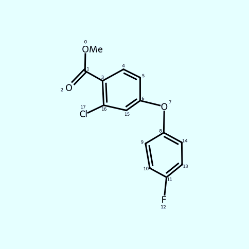 COC(=O)c1ccc(Oc2ccc(F)cc2)cc1Cl